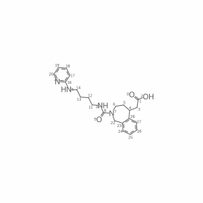 O=C(O)CC1CCN(C(=O)NCCCCNc2ccccn2)Cc2ccccc21